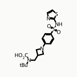 CC(C)(C)N(CC1CN(c2ccc(S(=O)(=O)Nc3nccs3)cc2)C1)C(=O)O